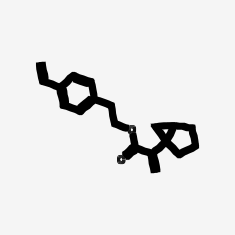 C=Cc1ccc(CCOC(=O)C(=C)C23CCCC2C3)cc1